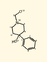 OC1(c2ccccc2)CCN(CCl)CC1